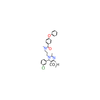 CC1=NC(C)=C(C(=O)O)C(c2cccc(Cl)c2)N1CCCN(C)C(=O)c1ccc(Oc2ccccc2)cc1